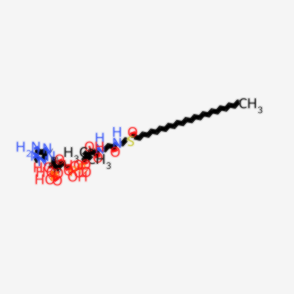 CCCCCCCCCCCCCCCCCCCCCCCCCC(=O)SCCNC(=O)CCNC(=O)[C@H](O)C(C)(C)COP(=O)(O)OP(=O)(O)OC[C@H]1O[C@@H](n2cnc3c(N)ncnc32)[C@H](O)[C@@H]1OP(=O)(O)O